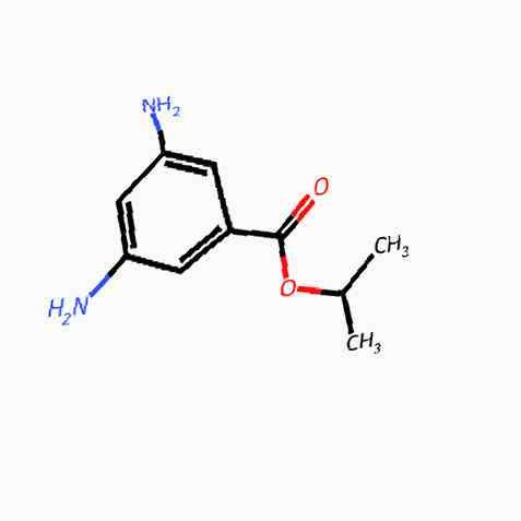 CC(C)OC(=O)c1cc(N)cc(N)c1